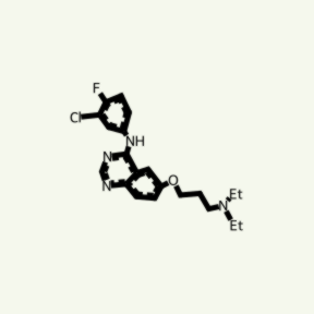 CCN(CC)CCCOc1ccc2ncnc(Nc3ccc(F)c(Cl)c3)c2c1